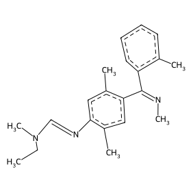 CCN(C)C=Nc1cc(C)c(/C(=N\C)c2ccccc2C)cc1C